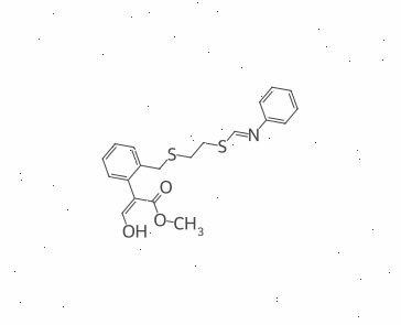 COC(=O)C(=CO)c1ccccc1CSCCSC=Nc1ccccc1